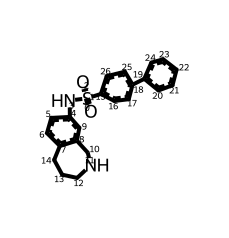 O=S(=O)(Nc1ccc2c(c1)CNCCC2)c1ccc(-c2ccccc2)cc1